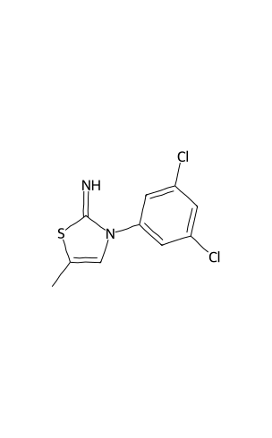 Cc1cn(-c2cc(Cl)cc(Cl)c2)c(=N)s1